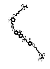 C=C(C)C(=O)OCCCCCCOc1ccc(C=COCOc2ccc3c(c2)C(C)(C)c2cc(OC(=O)C=Cc4ccc(OCCCCCCOC(=O)C(=C)C(F)(F)F)cc4F)ccc2-3)c(F)c1